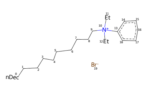 CCCCCCCCCCCCCCCCCCC[N+](CC)(CC)c1ccccc1.[Br-]